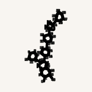 Cc1cc2nc(-c3ccccc3)c(-c3ccc(-c4ccc(-c5nnc(-c6ccccc6)o5)cc4)cc3)nc2cc1C